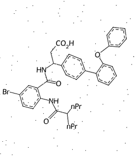 CCCC(CCC)C(=O)Nc1ccc(Br)cc1C(=O)NC(CC(=O)O)c1ccc(-c2ccccc2Oc2ccccc2)cc1